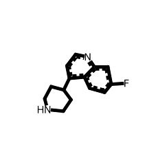 Fc1ccc2c(C3CCNCC3)ccnc2c1